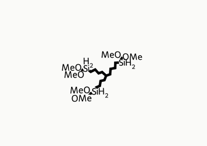 COC(OC)[SiH2]CCCCC(CCCC[SiH2]C(OC)OC)CCCC[SiH2]C(OC)OC